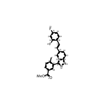 COC(=O)c1ccc(C)c(-c2nnc3ccc(/C=C/c4ccc(F)cc4F)cn23)c1